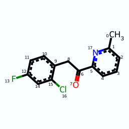 Cc1cccc(C(=O)Cc2ccc(F)cc2Cl)n1